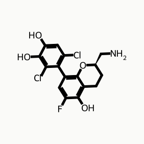 NC[C@H]1CCc2c(O)c(F)cc(-c3c(Cl)cc(O)c(O)c3Cl)c2O1